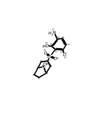 CN1C2CCC1CC(S(=O)(=O)c1c(Cl)ccc(N)c1O)C2